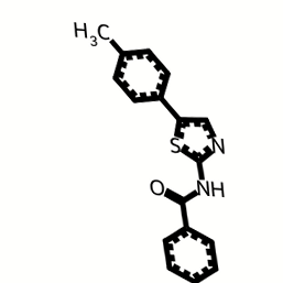 Cc1ccc(-c2cnc(NC(=O)c3ccccc3)s2)cc1